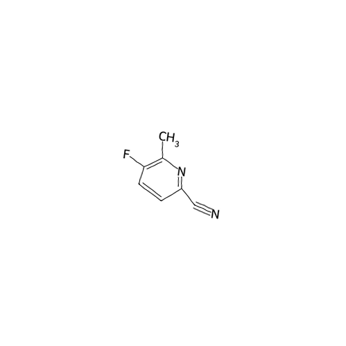 Cc1nc(C#N)ccc1F